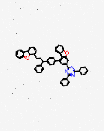 c1ccc(-c2nc(-c3ccccc3)nc(-c3cc(-c4ccc(C(CCc5cccc6c5oc5ccccc56)c5ccccc5)cc4)c4c(c3)oc3ccccc34)n2)cc1